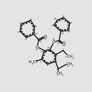 CCc1c(C(C)C)cc(C)c(OC(=O)c2ccccc2)c1OC(=O)c1ccccc1